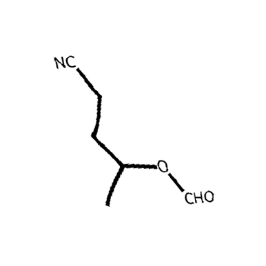 CC(CCC#N)OC=O